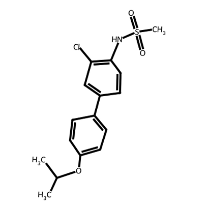 CC(C)Oc1ccc(-c2ccc(NS(C)(=O)=O)c(Cl)c2)cc1